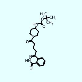 CC(C)(C)OC(=O)NC1CCN(C(=O)CCCc2n[nH]c(=O)c3ccccc23)CC1